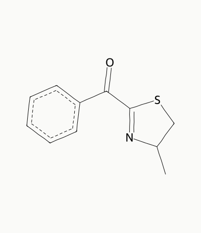 CC1CSC(C(=O)c2ccccc2)=N1